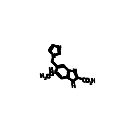 O.O.O=C(O)c1nc2cc(Cn3ccnc3)ccc2[nH]1